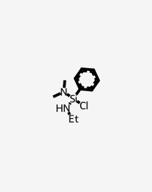 CCN[Si](Cl)(c1ccccc1)N(C)C